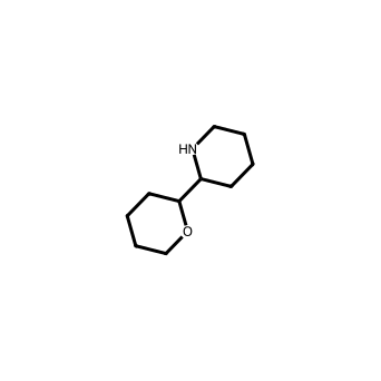 C1CCC(C2CCCCO2)NC1